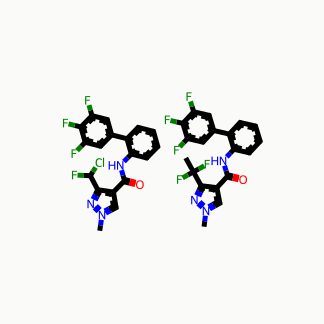 Cn1cc(C(=O)Nc2ccccc2-c2cc(F)c(F)c(F)c2)c(C(C)(F)F)n1.Cn1cc(C(=O)Nc2ccccc2-c2cc(F)c(F)c(F)c2)c(C(F)Cl)n1